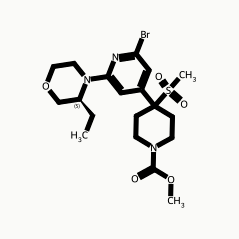 CC[C@H]1COCCN1c1cc(C2(S(C)(=O)=O)CCN(C(=O)OC)CC2)cc(Br)n1